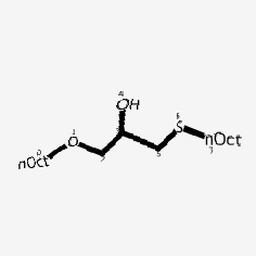 CCCCCCCCOCC(O)CSCCCCCCCC